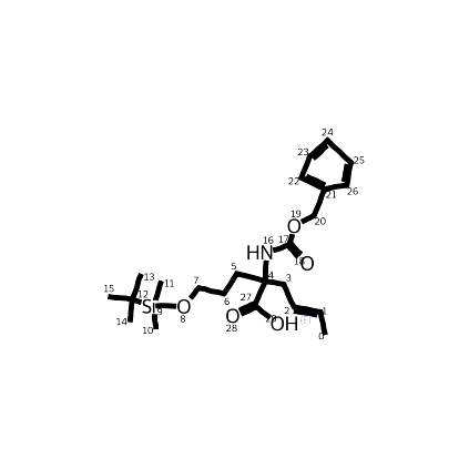 C/C=C/CC(CCCO[Si](C)(C)C(C)(C)C)(NC(=O)OCc1ccccc1)C(=O)O